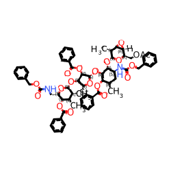 CC[C@H]1O[C@@H](O[C@@H]2C(OC(=O)c3ccccc3)[C@H](C)C[C@H](NC(=O)OCc3ccccc3)[C@H]2O[C@H]2O[C@H](COC(C)=O)[C@@H]3OC3[C@H]2C)[C@H](OC(=O)c2ccccc2)[C@@H]1O[C@H]1O[C@@H](CNC(=O)OCc2ccccc2)[C@@H](OC(=O)c2ccccc2)[C@H](C)[C@H]1C